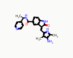 Cc1[nH]c(/C=C2\C(=O)Nc3ccc(C(=O)N[C@H](C)c4ccncc4)cc32)c(C)c1N